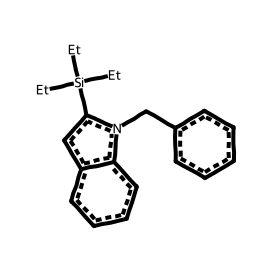 CC[Si](CC)(CC)c1cc2ccccc2n1Cc1ccccc1